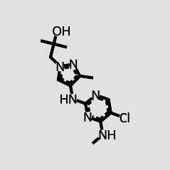 CNc1nc(Nc2cn(CC(C)(C)O)nc2C)ncc1Cl